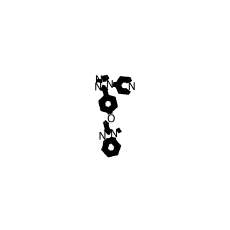 Cn1c(COc2ccc(-c3nncn3-c3ccncc3)cc2)nc2ccccc21